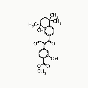 COC(=O)c1ccc(N(C=O)C(=O)c2ccc3c(c2)C(C)(C)CCC3(C)C)cc1O